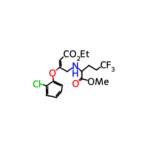 CCOC(=O)C=C(CNC(CCC(F)(F)F)C(=O)OC)Oc1ccccc1Cl